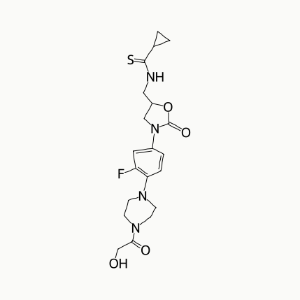 O=C(CO)N1CCN(c2ccc(N3CC(CNC(=S)C4CC4)OC3=O)cc2F)CC1